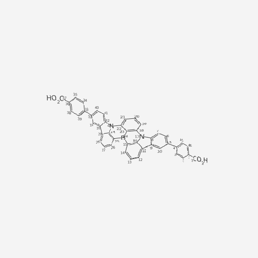 O=C(O)c1ccc(-c2ccc3c(c2)c2cccc4c2n3-c2cccc3c2B4c2cccc4c5cc(-c6ccc(C(=O)O)cc6)ccc5n-3c24)cc1